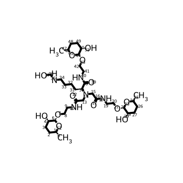 C[C@H]1CC[C@H](O)[C@H](OCCNC(=O)CN(CC(=O)NCCO[C@@H]2O[C@@H](C)CC[C@@H]2O)[C@@H](CCCCNCO)C(=O)NCCO[C@@H]2O[C@@H](C)CC[C@@H]2O)O1